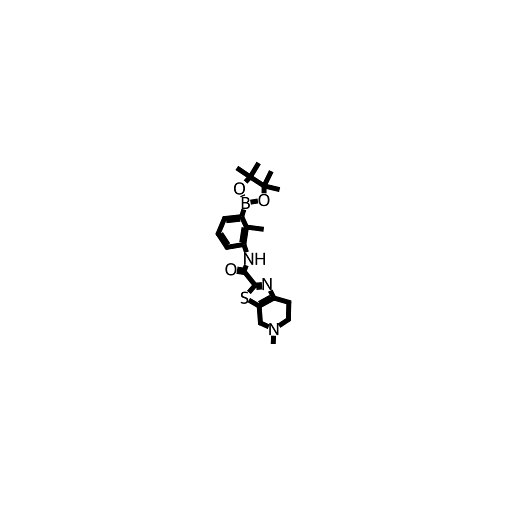 Cc1c(NC(=O)c2nc3c(s2)CN(C)CC3)cccc1B1OC(C)(C)C(C)(C)O1